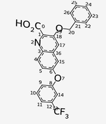 O=C(O)c1nc2ccc(Oc3cccc(C(F)(F)F)c3)cc2cc1OCc1ccccc1